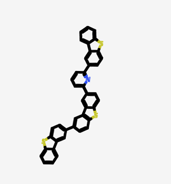 c1cc(-c2ccc3sc4ccccc4c3c2)nc(-c2ccc3sc4ccc(-c5ccc6sc7ccccc7c6c5)cc4c3c2)c1